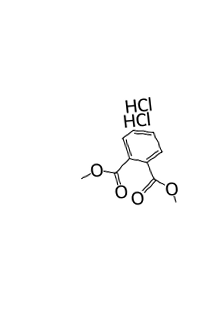 COC(=O)c1ccccc1C(=O)OC.Cl.Cl